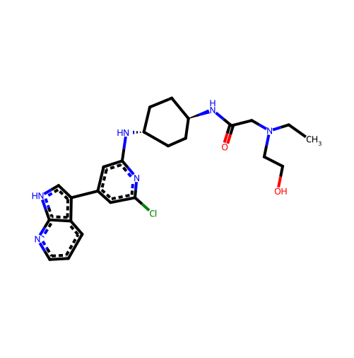 CCN(CCO)CC(=O)N[C@H]1CC[C@H](Nc2cc(-c3c[nH]c4ncccc34)cc(Cl)n2)CC1